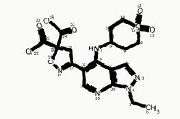 CCn1ncc2c(NC3CCS(=O)(=O)CC3)c(C3=NOC(C(=O)Cl)(C(=O)Cl)C3)cnc21